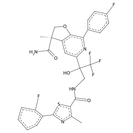 Cc1nc(-c2ccccc2F)sc1C(=O)NCC(O)(c1cc2c(c(-c3ccc(F)cc3)n1)OC[C@]2(C)C(N)=O)C(F)(F)F